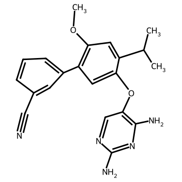 COc1cc(C(C)C)c(Oc2cnc(N)nc2N)cc1-c1cccc(C#N)c1